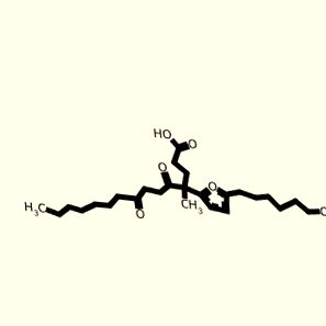 CCCCCCCC(=O)CCC(=O)C(C)(CCC(=O)O)c1ccc(CCCCCCC)o1